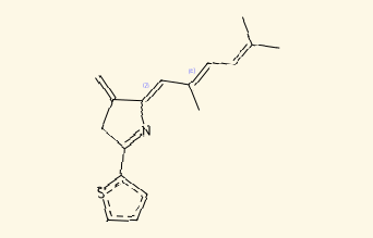 C=C1CC(c2cccs2)=N/C1=C\C(C)=C\C=C(C)C